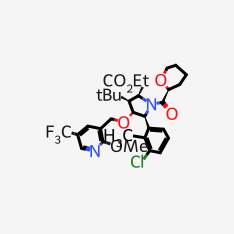 CCOC(=O)[C@@H]1[C@H](C(C)(C)C)[C@H](OCc2cc(C(F)(F)F)cnc2OC)[C@H](c2cccc(Cl)c2C)N1C(=O)[C@@H]1CCCCO1